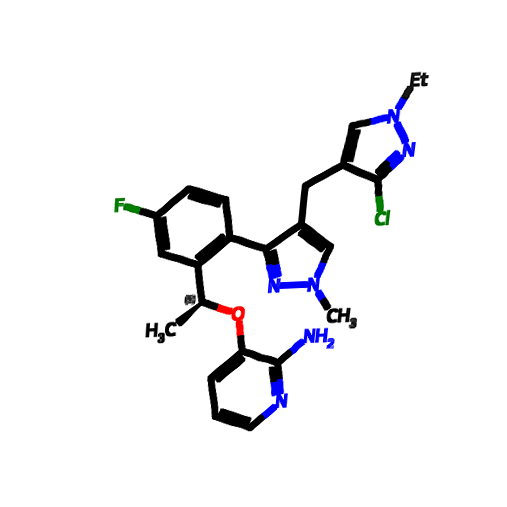 CCn1cc(Cc2cn(C)nc2-c2ccc(F)cc2[C@H](C)Oc2cccnc2N)c(Cl)n1